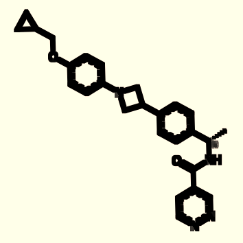 C[C@H](NC(=O)c1ccnnc1)c1ccc(C2CN(c3ccc(OCC4CC4)cc3)C2)cc1